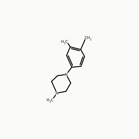 [CH2]c1ccc(N2CCN(C)CC2)cc1C